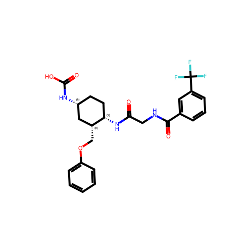 O=C(O)N[C@@H]1CC[C@H](NC(=O)CNC(=O)c2cccc(C(F)(F)F)c2)[C@H](COc2ccccc2)C1